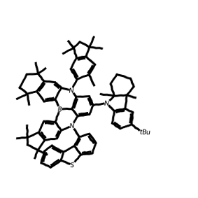 Cc1cc2c(cc1N1c3cc4c(cc3B3c5cc6c(cc5N(c5cccc7sc8ccccc8c57)c5cc(N7c8ccc(C(C)(C)C)cc8C8(C)CCCCC78C)cc1c53)C(C)(C)CC6(C)C)C(C)(C)CCC4(C)C)C(C)(C)CC2(C)C